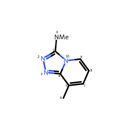 CNc1nnc2c(C)cccn12